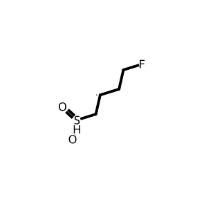 O=[SH](=O)C[CH]CCF